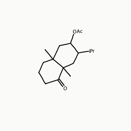 CC(=O)OC1CC2(C)CCCC(=O)C2(C)CC1C(C)C